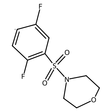 O=S(=O)(c1cc(F)[c]cc1F)N1CCOCC1